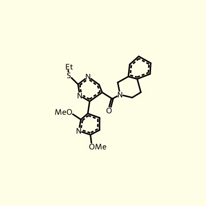 CCSc1ncc(C(=O)N2CCc3ccccc3C2)c(-c2ccc(OC)nc2OC)n1